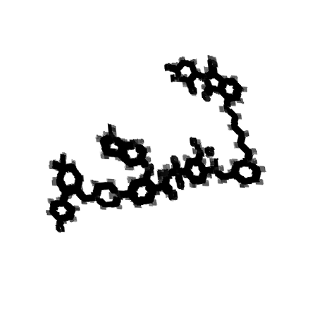 CC1(C)CCC(CN2CCN(c3ccc(C(=O)NS(=O)(=O)c4ccc(NCC5CCCN(CCCCCSc6cccc7c6C(=O)N(C6CCC(=O)NC6=O)C7=O)C5)c([N+](=O)[O-])c4)c(Oc4cnc5[nH]ccc5c4)c3)CC2)=C(c2ccc(Cl)cc2)C1